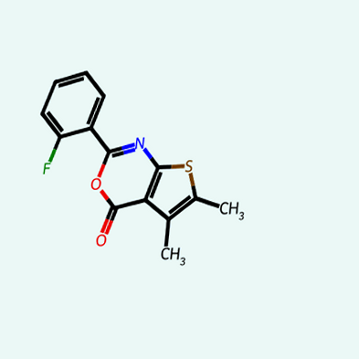 Cc1sc2nc(-c3ccccc3F)oc(=O)c2c1C